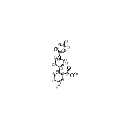 COC(=O)c1cc(F)ccc1C1=CCN(C(=O)OC(C)(C)C)CC1